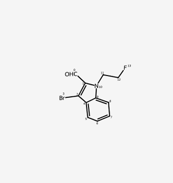 O=Cc1c(Br)c2ccccc2n1CCF